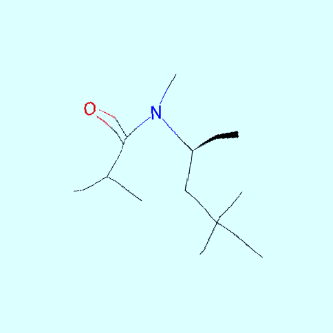 CC(C)C(=O)N(C)[C@@H](C)CC(C)(C)C